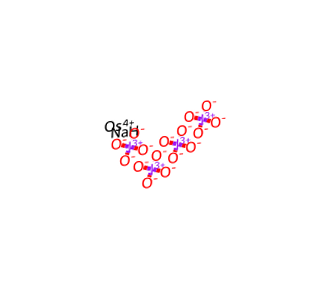 [NaH].[O-][I+3]([O-])([O-])[O-].[O-][I+3]([O-])([O-])[O-].[O-][I+3]([O-])([O-])[O-].[O-][I+3]([O-])([O-])[O-].[Os+4]